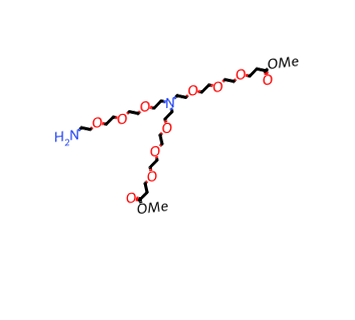 COC(=O)CCOCCOCCOCCN(CCOCCOCCOCCN)CCOCCOCCOCCC(=O)OC